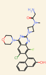 CN(C(=O)CN)C1CN(c2nc(N3CCOCC3)c3cc(Cl)c(-c4cc(O)cc5ccccc45)c(F)c3n2)C1